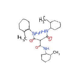 CC1CCCCC1NC(=O)C(C(=O)NC1CCCCC1C)C(=O)NC1CCCCC1C